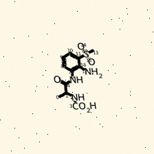 CC(NC(=O)O)C(=O)Nc1cccc(S(C)(=O)=O)c1N